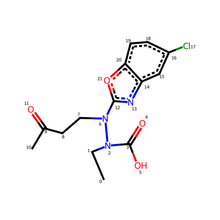 CCN(C(=O)O)N(CCC(C)=O)c1nc2cc(Cl)ccc2o1